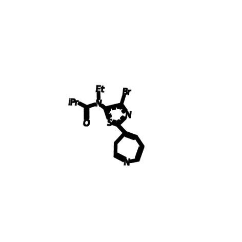 CCN(C(=O)C(C)C)c1sc(C2=CC=CN=CC2)nc1Br